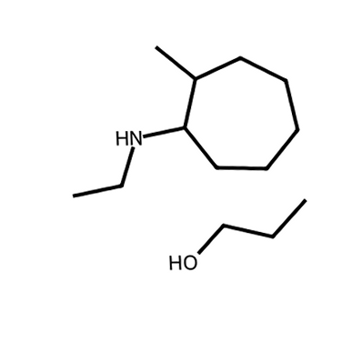 CCCO.CCNC1CCCCCC1C